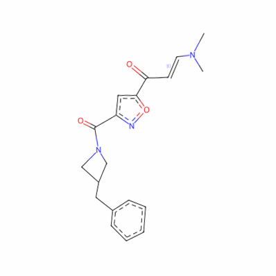 CN(C)/C=C/C(=O)c1cc(C(=O)N2CC(Cc3ccccc3)C2)no1